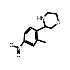 Cc1cc([N+](=O)[O-])ccc1C1COCCN1